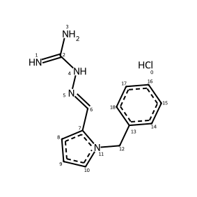 Cl.N=C(N)NN=Cc1cccn1Cc1ccccc1